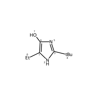 CCc1[nH]c(C(C)(C)C)nc1O